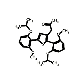 COc1cccc(OC(C)C)c1-c1cc(CC(C)=O)c(-c2c(OC)cccc2OC(C)C)s1